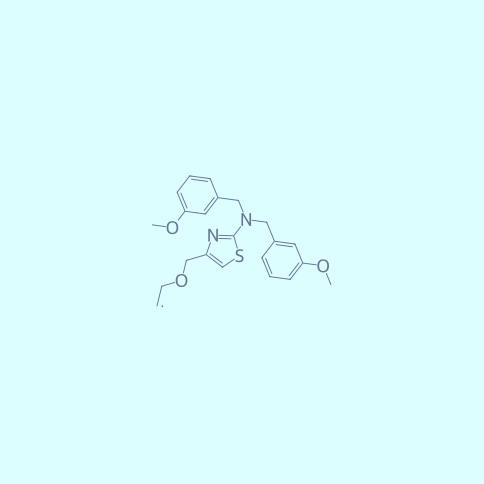 [CH2]COCc1csc(N(Cc2cccc(OC)c2)Cc2cccc(OC)c2)n1